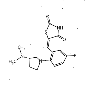 CN(C)[C@H]1CCN(c2ccc(F)cc2C=C2SC(=O)NC2=O)C1